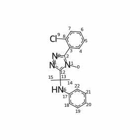 Cn1c(-c2ccccc2Cl)nnc1C(C)(C)Nc1ccccc1